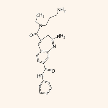 CCN(CCCN)C(=O)C1=Cc2ccc(C(=O)Nc3ccccc3)cc2N=C(N)C1